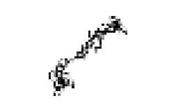 CC1(C)C(NC(=O)c2ccc(N3CCN(CCCCCOc4ccc5c(c4)C(=O)N(C4CCC(=O)NC4=O)C5=O)CC3)cc2)C(C)(C)C1Oc1ccc(C#N)c(C(F)(F)F)c1